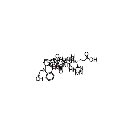 C#CCN(c1ccccc1C(=O)N[C@@](CCC(=O)N[C@H](CCC(=O)O)c1nnn[nH]1)(C(=O)O)C(C)(C)C)C1CCc2cc3nc(C)[nH]c(=O)c3cc21